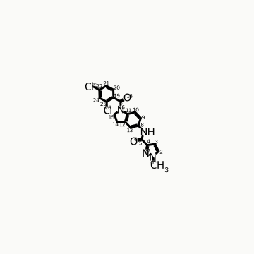 Cn1ccc(C(=O)Nc2ccc3c(c2)CCN3C(=O)c2ccc(Cl)cc2Cl)n1